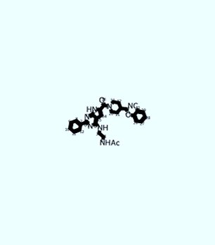 CC(=O)NCCNc1nc(-c2ccccc2)nc2[nH]c(C(=O)N3CCC(COc4ccccc4C#N)CC3)cc12